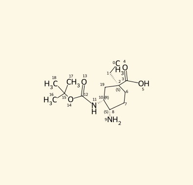 CC[C@]1(C(=O)O)CC[C@H](N)[C@H](NC(=O)OC(C)(C)C)C1